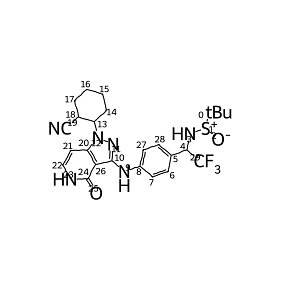 CC(C)(C)[S+]([O-])NC(c1ccc(Nc2nn(C3CCCCC3C#N)c3cc[nH]c(=O)c23)cc1)C(F)(F)F